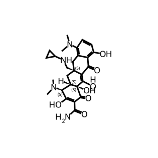 CN(C)c1ccc(O)c2c1C[C@@]1(CNC3CC3)C[C@H]3[C@H](N(C)C)C(O)=C(C(N)=O)C(=O)[C@@]3(O)C(O)=C1C2=O